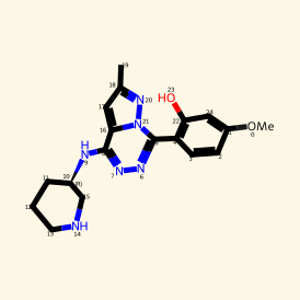 COc1ccc(-c2nnc(N[C@@H]3CCCNC3)c3cc(C)nn23)c(O)c1